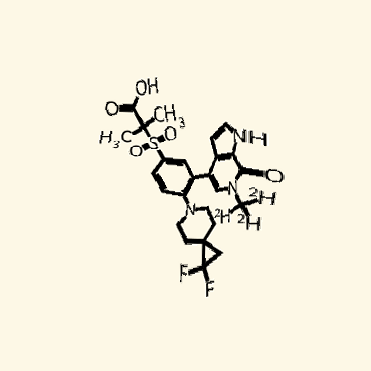 [2H]C([2H])([2H])n1cc(-c2cc(S(=O)(=O)C(C)(C)C(=O)O)ccc2N2CCC3(CC2)CC3(F)F)c2cc[nH]c2c1=O